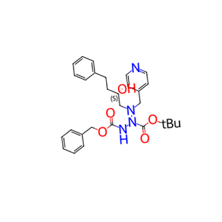 CC(C)(C)OC(=O)N(NC(=O)OCc1ccccc1)N(Cc1ccncc1)C[C@@H](O)CCc1ccccc1